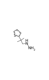 CC(C)(CNN)c1cccs1